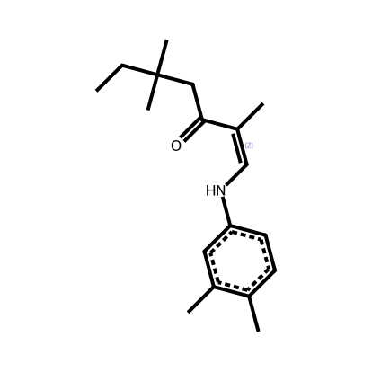 CCC(C)(C)CC(=O)/C(C)=C\Nc1ccc(C)c(C)c1